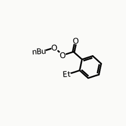 CCCCOOC(=O)c1ccccc1CC